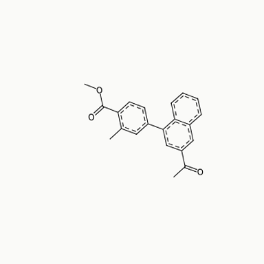 COC(=O)c1ccc(-c2cc(C(C)=O)cc3ccccc23)cc1C